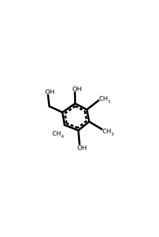 C.Cc1c(O)cc(CO)c(O)c1C